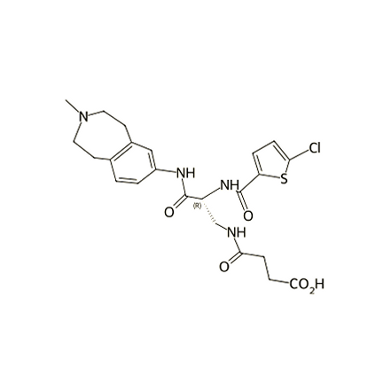 CN1CCc2ccc(NC(=O)[C@@H](CNC(=O)CCC(=O)O)NC(=O)c3ccc(Cl)s3)cc2CC1